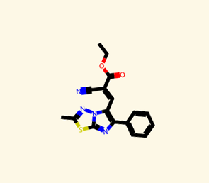 CCOC(=O)C(C#N)=Cc1c(-c2ccccc2)nc2sc(C)nn12